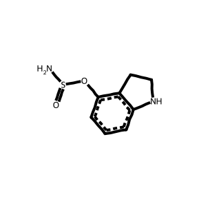 NS(=O)Oc1cccc2c1CCN2